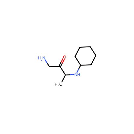 CC(NC1CCCCC1)C(=O)CN